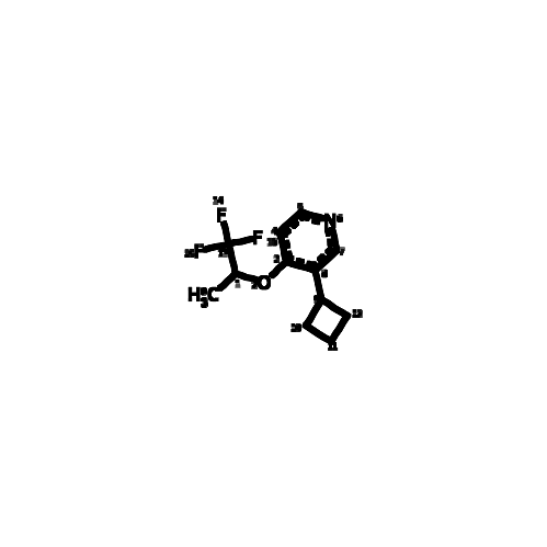 CC(Oc1ccncc1C1CCC1)C(F)(F)F